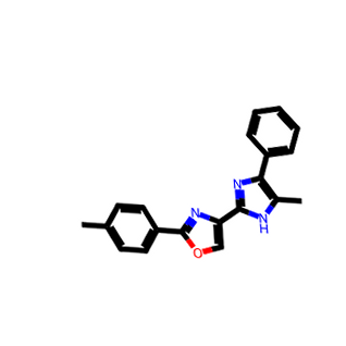 Cc1ccc(-c2nc(-c3nc(-c4ccccc4)c(C)[nH]3)co2)cc1